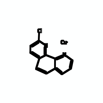 Clc1ccc2ccc3cccnc3c2n1.[Cu]